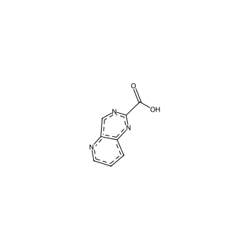 O=C(O)c1ncc2ncccc2n1